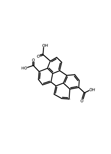 O=C(O)c1ccc2c3ccc(C(=O)O)c4c(C(=O)O)ccc(c5cc[c]c1c52)c43